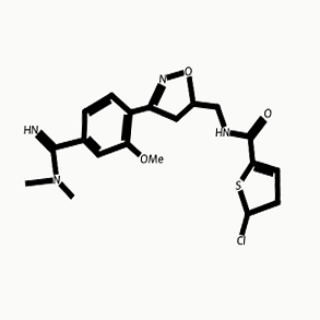 COc1cc(C(=N)N(C)C)ccc1C1=NOC(CNC(=O)C2=CCC(Cl)S2)C1